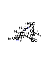 CC(=O)O[C@@H](C)/C=C\C(=O)N[C@@H]1C[C@H](C)[C@H](C/C=C(C)/C=C/[C@H]2O[C@H](CC(=O)NC(C)(C)C(=O)ON3C(=O)CCC3=O)C[C@@]3(CO3)[C@@H]2O)O[C@@H]1C